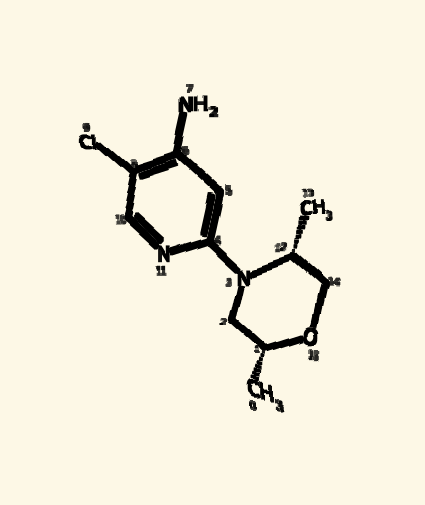 C[C@@H]1CN(c2cc(N)c(Cl)cn2)[C@H](C)CO1